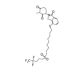 CC1C(=O)CCC(N2Cc3c(SCCCCCCCCCS(=O)(=O)CCCC(F)(F)C(F)(F)F)cccc3C2=O)C1=O